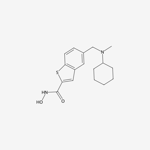 CN(Cc1ccc2sc(C(=O)NO)cc2c1)C1CCCCC1